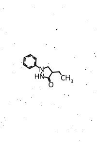 CCC1CN(c2ccccc2)NC1=O